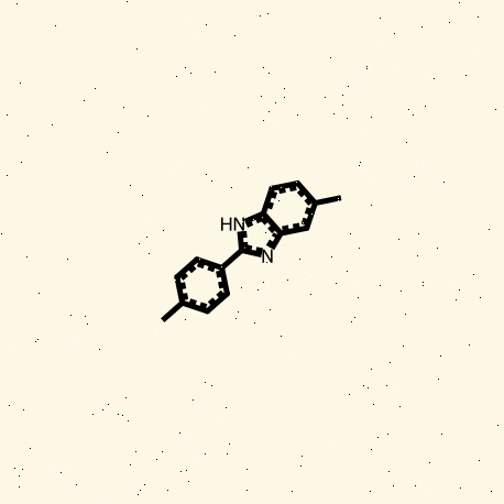 Cc1ccc(-c2nc3cc(C)ccc3[nH]2)cc1